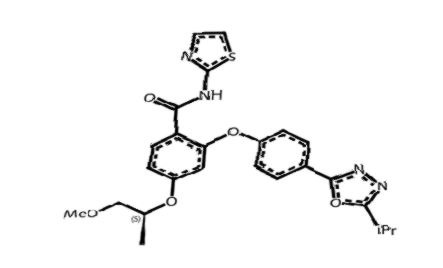 COC[C@H](C)Oc1ccc(C(=O)Nc2nccs2)c(Oc2ccc(-c3nnc(C(C)C)o3)cc2)c1